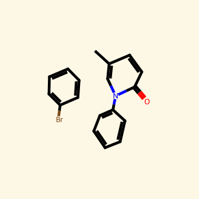 Brc1ccccc1.Cc1ccc(=O)n(-c2ccccc2)c1